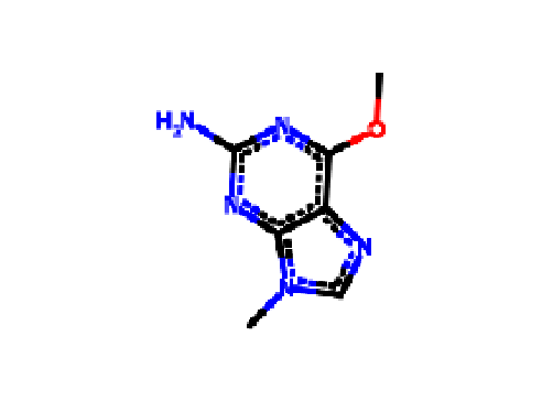 COc1nc(N)nc2c1ncn2C